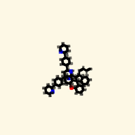 C=C/C=C\C1=C(c2nc(-c3ccc(-c4ccccn4)cc3)cc(-c3ccc(-c4ccccn4)cc3)n2)C2(c3ccccc3Oc3ccccc32)c2ccccc21